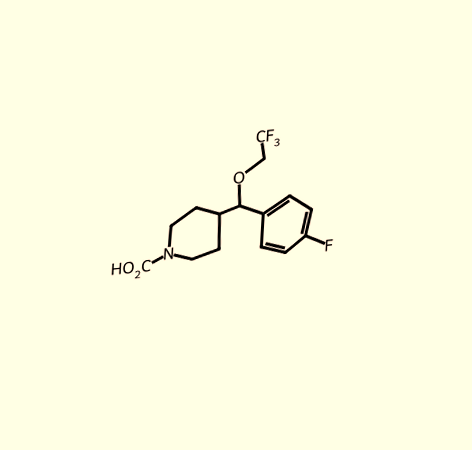 O=C(O)N1CCC(C(OCC(F)(F)F)c2ccc(F)cc2)CC1